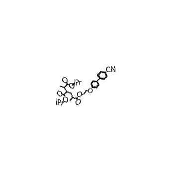 CC(C)OC(=O)C(C)C(CC(C)C(=O)OCCOc1ccc(-c2ccc(C#N)cc2)cc1)C(=O)OC(C)C